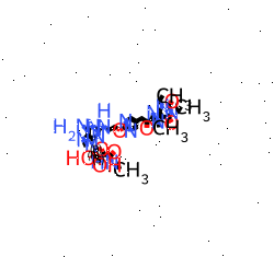 CCNC(=O)C1O[C@@H](n2cnc3c(N)nc(NCCOc4ncc(CC(=O)c5nc6c(c(=O)n(CC)c(=O)n6CC)n5C)cn4)nc32)[C@H](O)[C@@H]1O